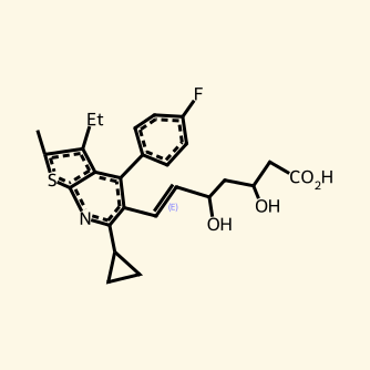 CCc1c(C)sc2nc(C3CC3)c(/C=C/C(O)CC(O)CC(=O)O)c(-c3ccc(F)cc3)c12